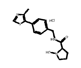 Cc1ncsc1-c1ccc(CNC(=O)C2CCCN2O)cc1.Cl